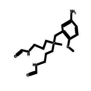 COc1ccc(N)cc1C[N+](C)(CCCNC=O)CCCNC=O